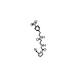 N#CC1CCCN1C(=O)CNCCC(=O)NCCc1ccc([N+](=O)[O-])cc1